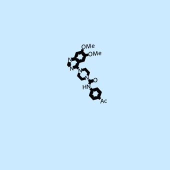 COc1cc2ncnc(N3CCN(C(=O)Nc4ccc(C(C)=O)cc4)CC3)c2cc1OC